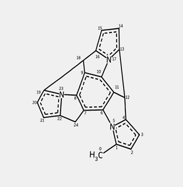 Cc1ccc2n1-c1c3c4c5c6c1C2c1ccc(n1-6)C5c1ccc(n1-4)C3